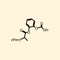 CCCCCC(C)C(=O)Oc1ccccc1OC(=O)CCC